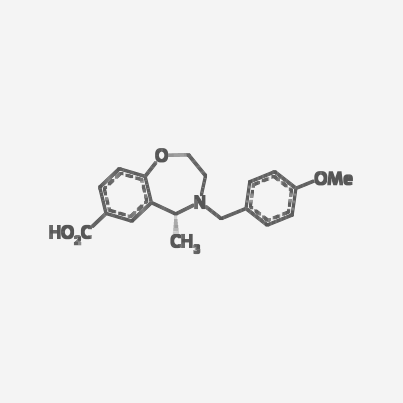 COc1ccc(CN2CCOc3ccc(C(=O)O)cc3[C@H]2C)cc1